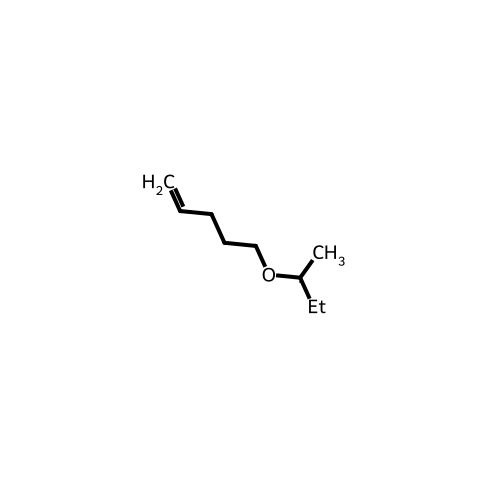 C=CCCCO[C](C)CC